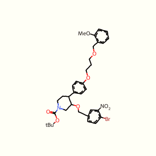 COc1ccccc1COCCCOc1ccc(C2CCN(C(=O)OC(C)(C)C)CC2OCc2ccc(Br)c([N+](=O)[O-])c2)cc1